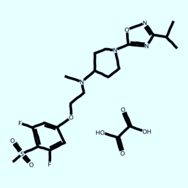 CC(C)c1noc(N2CCC(N(C)CCOc3cc(F)c(S(C)(=O)=O)c(F)c3)CC2)n1.O=C(O)C(=O)O